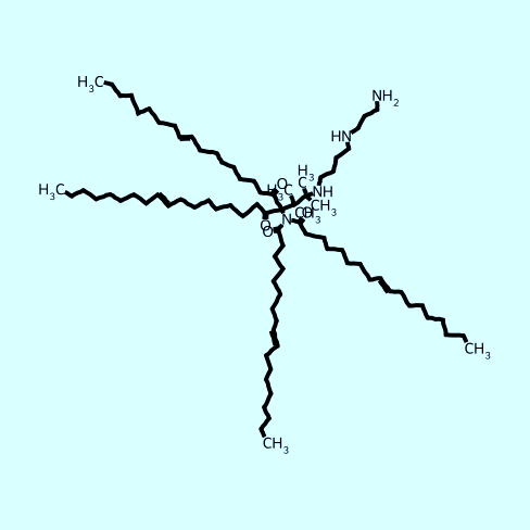 CCCCCCCCC=CCCCCCCCC(=O)N(C(=O)CCCCCCCC=CCCCCCCCC)C(C(=O)CCCCCCCC=CCCCCCCCC)(C(=O)CCCCCCCC=CCCCCCCCC)C(C)(C)C(C)(C)NCCCCNCCCN